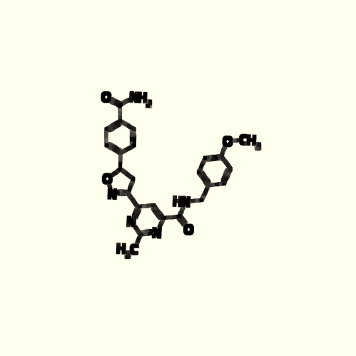 COc1ccc(CNC(=O)c2cc(C3=NOC(c4ccc(C(N)=O)cc4)C3)nc(C)n2)cc1